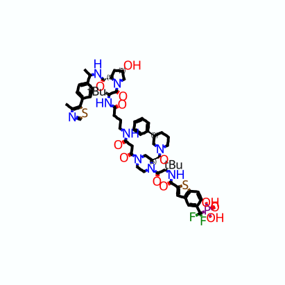 Cc1ncsc1-c1ccc(C(C)NC(=O)[C@@H]2C[C@@H](O)CN2C(=O)C(NC(=O)CCCNC(=O)CC(=O)N2CCN(C(=O)C(NC(=O)c3cc4cc(C(F)(F)P(=O)(O)O)ccc4s3)C(C)(C)C)[C@H](C(=O)N3CCC[C@H](c4ccccc4)C3)C2)C(C)(C)C)cc1